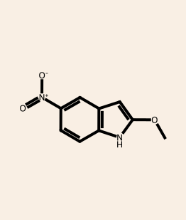 COc1cc2cc([N+](=O)[O-])ccc2[nH]1